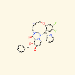 O=C1c2c(OCc3ccccc3)c(=O)ccn2N2CN1C/C=C\COc1cc(F)c(F)cc1[C@@H]2c1ccccn1